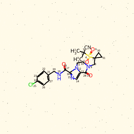 CC(C)(C#N)S(=O)(=O)C1(CN2CCn3c(cnc3C(=O)NCc3ccc(Cl)cc3)C2=O)CC1